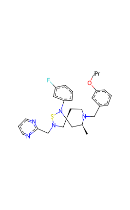 CC(C)Oc1cccc(CN2CC[C@@]3(C[C@@H]2C)CN(Cc2ncccn2)SN3c2cccc(F)c2)c1